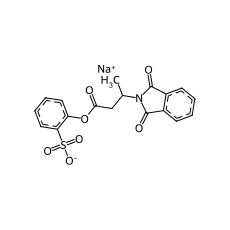 CC(CC(=O)Oc1ccccc1S(=O)(=O)[O-])N1C(=O)c2ccccc2C1=O.[Na+]